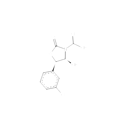 CC(C)N1C(=O)O[C@H](c2cccc(Cl)c2)[C@@H]1C